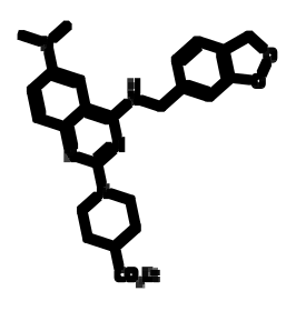 CCOC(=O)C1CCN(c2nc(NCc3ccc4c(c3)OOC4)c3cc(N(C)C)ccc3n2)CC1